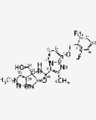 Cc1nc2c(OCc3c(F)cccc3F)cccn2c1C(=O)NC(CO)(CN=O)c1cnn(C)c1